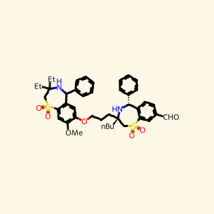 CCCC[C@]1(CCCOc2cc3c(cc2OC)S(=O)(=O)CC(CC)(CC)NC3c2ccccc2)CS(=O)(=O)c2cc(C=O)ccc2[C@@H](c2ccccc2)N1